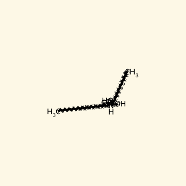 CCCCCCCCCCCCCCCCCCCCCC(O)CC(=O)N[C@@H](CO)[C@H](O)CCCCCCCCCCCCCCC